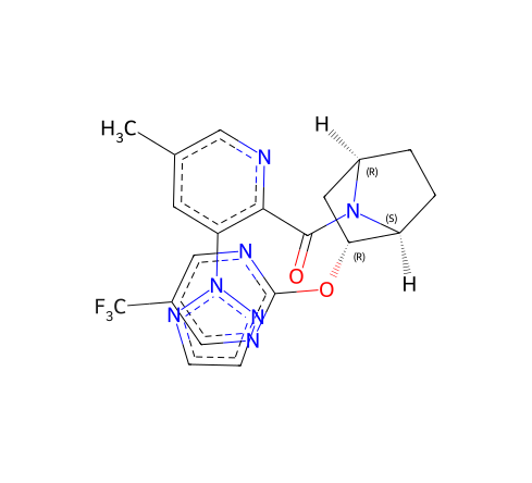 Cc1cnc(C(=O)N2[C@@H]3CC[C@H]2[C@H](Oc2ncc(C(F)(F)F)cn2)C3)c(-n2nccn2)c1